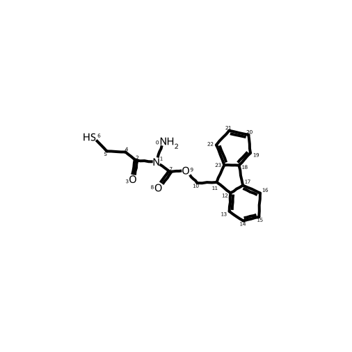 NN(C(=O)CCS)C(=O)OCC1c2ccccc2-c2ccccc21